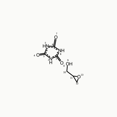 O=c1[nH]c(=O)[nH]c(=O)[nH]1.OCC1CO1